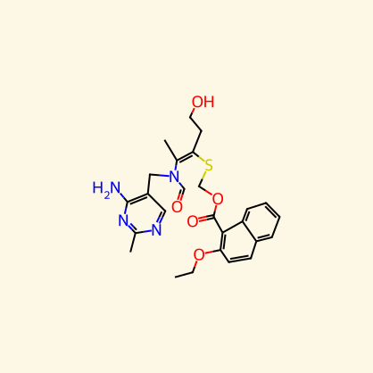 CCOc1ccc2ccccc2c1C(=O)OCSC(CCO)=C(C)N(C=O)Cc1cnc(C)nc1N